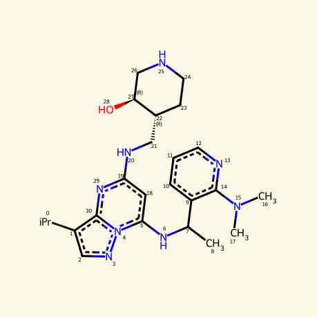 CC(C)c1cnn2c(NC(C)c3cccnc3N(C)C)cc(NC[C@H]3CCNC[C@@H]3O)nc12